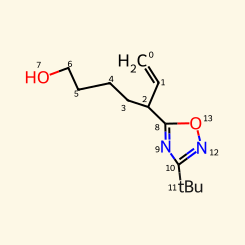 C=CC(CCCCO)c1nc(C(C)(C)C)no1